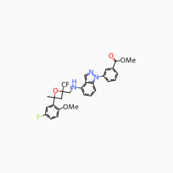 COC(=O)c1cccc(-n2ncc3c(NCC4(C(F)(F)F)CC(C)(c5cc(F)ccc5OC)O4)cccc32)c1